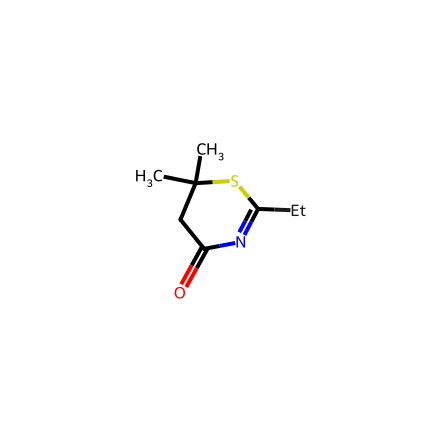 CCC1=NC(=O)CC(C)(C)S1